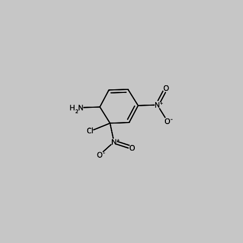 NC1C=CC([N+](=O)[O-])=CC1(Cl)[N+](=O)[O-]